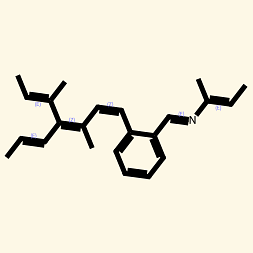 C/C=C/C(=C(C)/C=C\c1ccccc1/C=N/C(C)=C/C)C(/C)=C/C